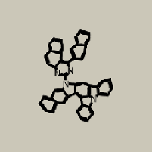 c1ccc2cc(-c3nc(-n4c5cc6ccccc6cc5c5c6c7ccccc7n7c8ccccc8c(cc54)c67)nc4ccc5ccccc5c34)ccc2c1